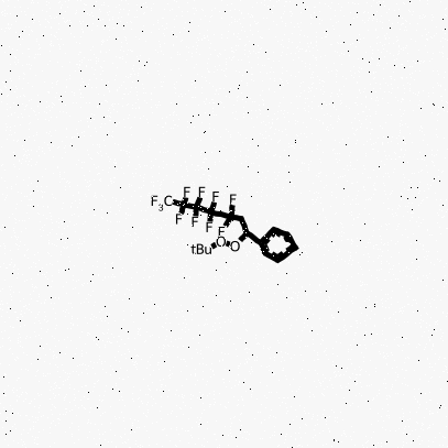 CC(C)(C)OOC(CC(F)(F)C(F)(F)C(F)(F)C(F)(F)C(F)(F)F)c1ccccc1